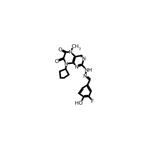 Cn1c(=O)c(=O)n(C2CCCC2)c2nc(N/N=C/c3ccc(O)c(F)c3)ncc21